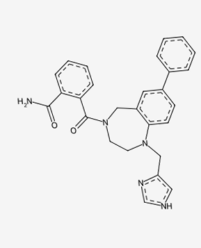 NC(=O)c1ccccc1C(=O)N1CCN(Cc2c[nH]cn2)c2ccc(-c3ccccc3)cc2C1